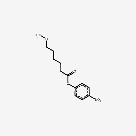 O=C(CCCCCO[N+](=O)[O-])Oc1ccc([N+](=O)[O-])cc1